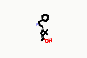 C=C(O)[C@@H]1C[C@H](C/C=C\c2ccccc2)C1(C)C